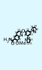 COc1cc2nc(Oc3cc(-n4cccn4)cc(-n4cccn4)c3)ccc2cc1C(N)=O